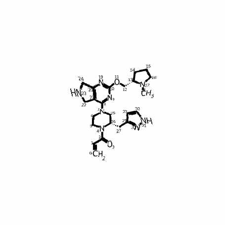 C=CC(=O)N1CCN(c2nc(OC[C@@H]3CCCN3C)nc3c2CNC3)C[C@@H]1Cc1cc[nH]n1